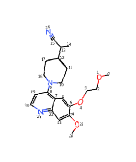 COCCOc1cc2c(N3CCC(C(C)C#N)CC3)ccnc2cc1OC